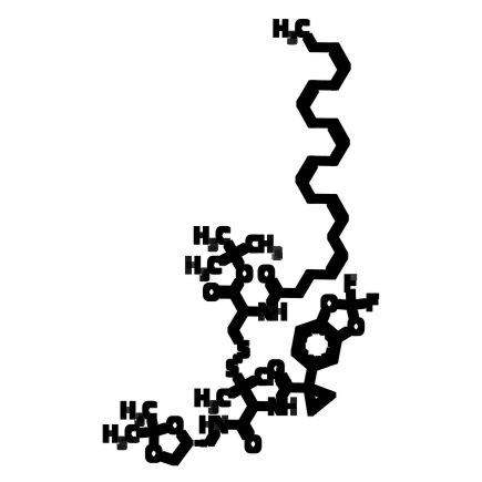 CC/C=C\C/C=C\C/C=C\C/C=C\C/C=C\C/C=C\CCC(=O)NC(CSSC(C)(C)C(NC(=O)C1(c2ccc3c(c2)OC(F)(F)O3)CC1)C(=O)NC[C@@H]1COC(C)(C)O1)C(=O)OC(C)(C)C